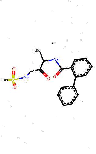 CCCCC(NC(=O)c1ccccc1-c1ccccc1)C(=O)CNS(C)(=O)=O